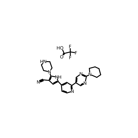 N#Cc1cc(-c2ccnc(-c3cnc(N4CCCCC4)nc3)c2)[nH]c1N1CCNCC1.O=C(O)C(F)(F)F